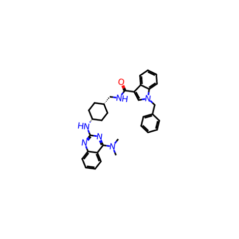 CN(C)c1nc(N[C@H]2CC[C@@H](CNC(=O)c3cn(Cc4ccccc4)c4ccccc34)CC2)nc2ccccc12